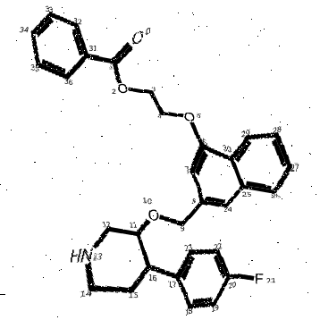 O=C(OCCOc1cc(COC2CNCCC2c2ccc(F)cc2)cc2ccccc12)c1ccccc1